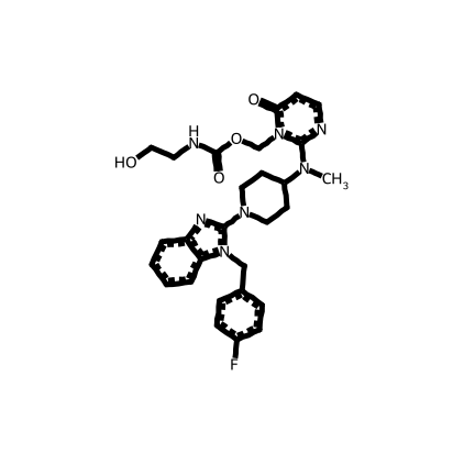 CN(c1nccc(=O)n1COC(=O)NCCO)C1CCN(c2nc3ccccc3n2Cc2ccc(F)cc2)CC1